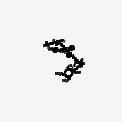 CCC(=O)NCCNC(=O)/N=C(/N)NCCC[C@@H](NC(=O)C(c1ccccc1)c1cccc(OCCCCNc2c(NCCNC(C=O)N3CCN(CC(=O)O)CCN(CC(=O)O)CCN(CC(=O)O)CC3)c(=O)c2=O)c1)C(=O)NCc1ccc(O)cc1